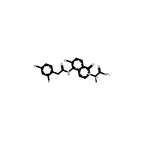 C[C@H](C(N)=O)n1ccc2c(NC(=O)Cc3ccc(Cl)cc3F)c(Cl)ccc2c1=O